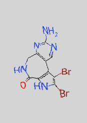 Nc1ncc2c(n1)CNC(=O)c1[nH]c(Br)c(Br)c1-2